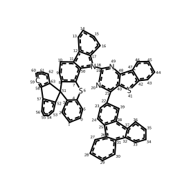 c1ccc2c(c1)Sc1c(ccc3c4ccccc4n(-c4nc(-c5ccc6c7ccccc7c7ccccc7c6c5)c5sc6ccccc6c5n4)c13)C21c2ccccc2-c2ccccc21